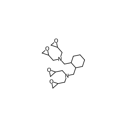 C1CCC(CN(CC2CO2)CC2CO2)C(CN(CC2CO2)CC2CO2)C1